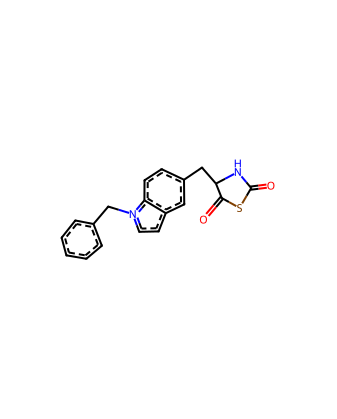 O=C1NC(Cc2ccc3c(ccn3Cc3ccccc3)c2)C(=O)S1